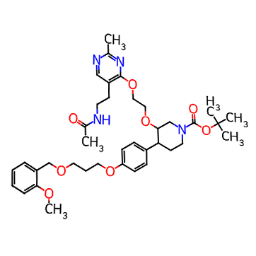 COc1ccccc1COCCCOc1ccc(C2CCN(C(=O)OC(C)(C)C)CC2OCCOc2nc(C)ncc2CCNC(C)=O)cc1